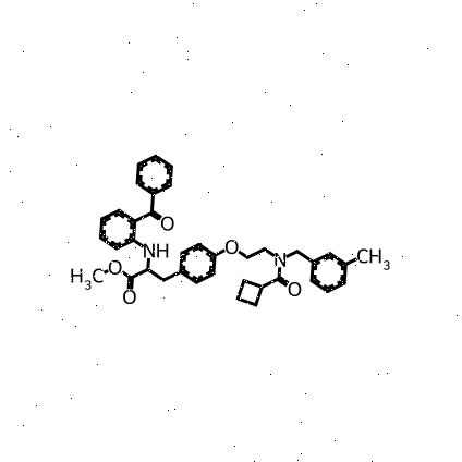 COC(=O)C(Cc1ccc(OCCN(Cc2cccc(C)c2)C(=O)C2CCC2)cc1)Nc1ccccc1C(=O)c1ccccc1